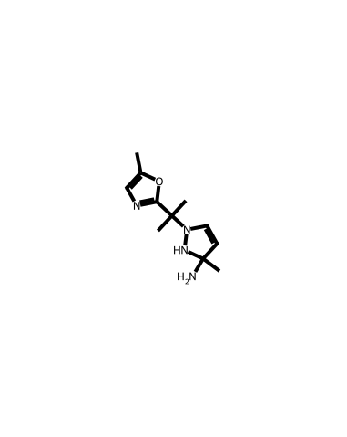 Cc1cnc(C(C)(C)N2C=CC(C)(N)N2)o1